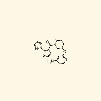 C[C@@H]1CC[C@@H](Oc2cc(N)ccn2)CN1C(=O)c1ccsc1-n1nccn1